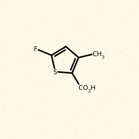 Cc1cc(F)sc1C(=O)O